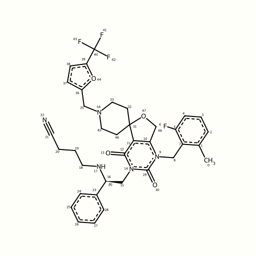 Cc1cccc(F)c1Cn1c2c(c(=O)n(C[C@H](NCCCC#N)c3ccccc3)c1=O)C1(CCN(Cc3ccc(C(F)(F)F)o3)CC1)OC2